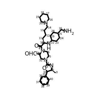 C[C@@H]1N=C(N2CCN(C(=O)[C@@H](CCCCN3CCCCC3)NC3CCC(CN)CC3)[C@H](C=O)C2)OC1c1ccccc1